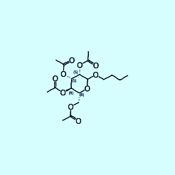 CCCCOC1O[C@H](COC(C)=O)[C@@H](OC(C)=O)[C@H](OC(C)=O)[C@@H]1OC(C)=O